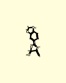 C=C1N=C(c2ccc3c(c2)OCO3)OC1=O